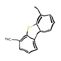 Cc1cccc2c1sc1c(C#N)cccc12